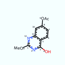 COc1nc(O)c2ccc(OC(C)=O)cc2n1